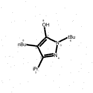 CCCCc1c(C(C)C)nn(C(C)(C)C)c1O